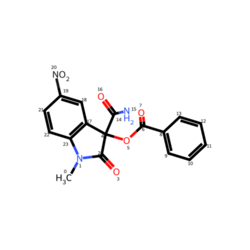 CN1C(=O)C(OC(=O)c2ccccc2)(C(N)=O)c2cc([N+](=O)[O-])ccc21